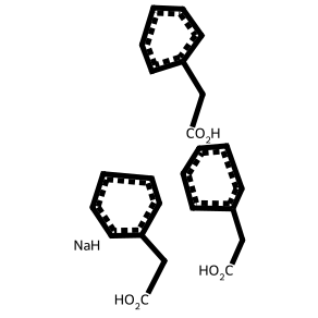 O=C(O)Cc1ccccc1.O=C(O)Cc1ccccc1.O=C(O)Cc1ccccc1.[NaH]